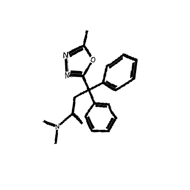 Cc1nnc(C(CC(C)N(C)C)(c2ccccc2)c2ccccc2)o1